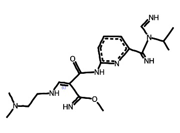 COC(=N)/C(=C\NCCN(C)C)C(=O)Nc1cccc(C(=N)N(C=N)C(C)C)n1